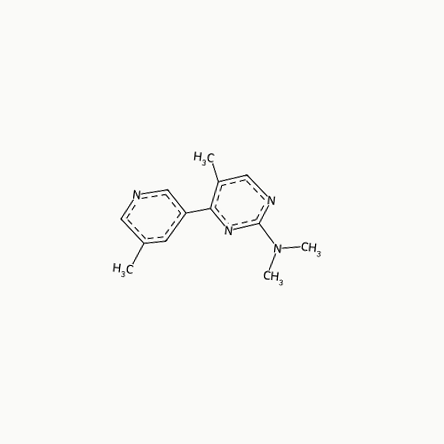 Cc1cncc(-c2nc(N(C)C)ncc2C)c1